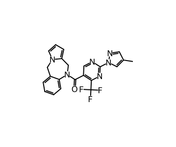 Cc1cnn(-c2ncc(C(=O)N3Cc4cccn4Cc4ccccc43)c(C(F)(F)F)n2)c1